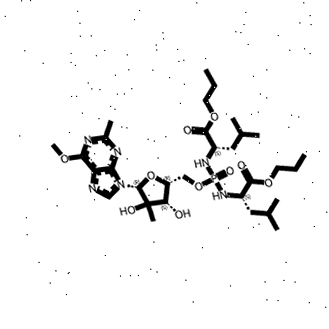 CCCOC(=O)[C@H](CC(C)C)NP(=O)(N[C@@H](CC(C)C)C(=O)OCCC)OC[C@H]1O[C@@H](n2cnc3c(OC)nc(C)nc32)C(C)(O)[C@H]1O